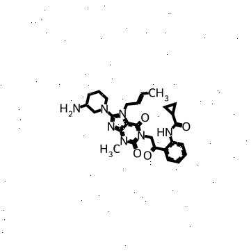 C/C=C/Cn1c(N2CCCC(N)C2)nc2c1c(=O)n(CC(=O)c1ccccc1NC(=O)C1CC1)c(=O)n2C